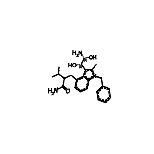 Cc1c([C@H](O)[C@H](N)O)c2c(CC(C(N)=O)C(C)C)cccc2n1Cc1ccccc1